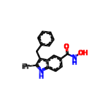 CC(C)c1[nH]c2ccc(C(=O)NO)cc2c1Cc1ccccc1